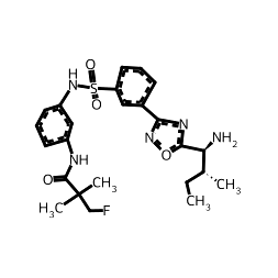 CC[C@@H](C)[C@H](N)c1nc(-c2cccc(S(=O)(=O)Nc3cccc(NC(=O)C(C)(C)CF)c3)c2)no1